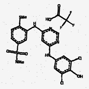 CNS(=O)(=O)c1ccc(SC)c(Nc2cc(Nc3cc(Cl)c(O)c(Cl)c3)ncn2)c1.O=C(O)C(F)(F)F